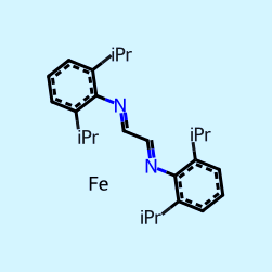 CC(C)c1cccc(C(C)C)c1N=CC=Nc1c(C(C)C)cccc1C(C)C.[Fe]